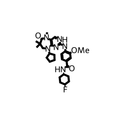 COc1cc(C(=O)N[C@H]2CC[C@H](F)CC2)ccc1Nc1ncc2c(n1)N(C1CCCC1)CC(C)(C)C(=O)N2C